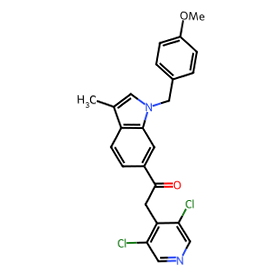 COc1ccc(Cn2cc(C)c3ccc(C(=O)Cc4c(Cl)cncc4Cl)cc32)cc1